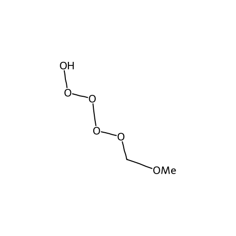 COCOOOOO